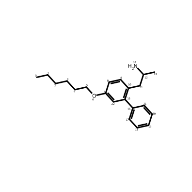 CCCCCCOc1ccc(CC(C)N)c(-c2ccccc2)c1